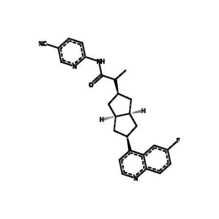 CC(C(=O)Nc1ccc(C#N)cn1)[C@H]1C[C@H]2C[C@@H](c3ccnc4ccc(F)cc34)C[C@H]2C1